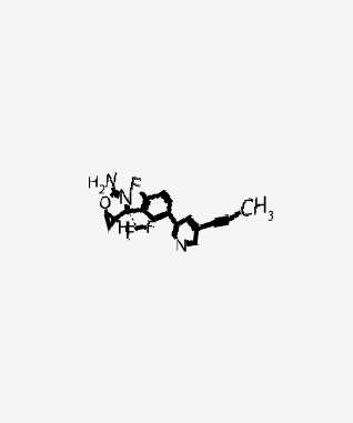 CC#Cc1cncc(-c2ccc(F)c([C@]3(C(F)F)N=C(N)OC4C[C@H]43)c2)c1